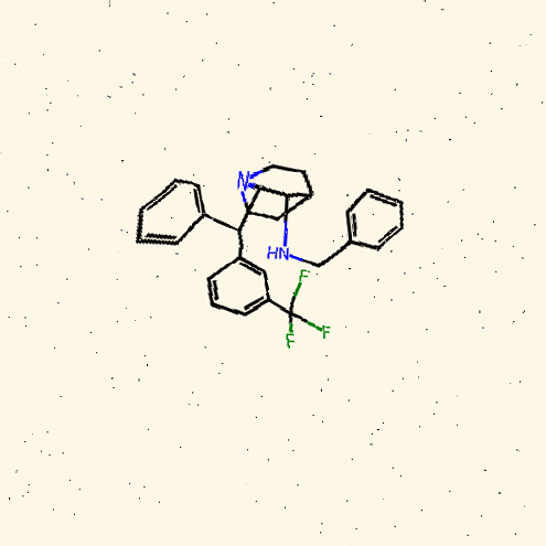 FC(F)(F)c1cccc(C(c2ccccc2)C2C(NCc3ccccc3)C3CCN2CC3)c1